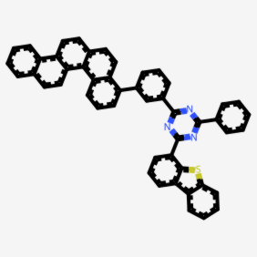 c1ccc(-c2nc(-c3cccc(-c4cccc5c4ccc4ccc6c7ccccc7ccc6c45)c3)nc(-c3cccc4c3sc3ccccc34)n2)cc1